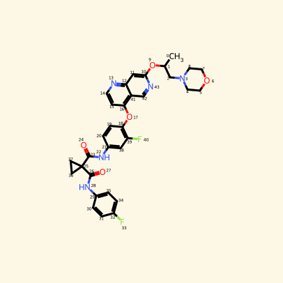 CC(CN1CCOCC1)Oc1cc2nccc(Oc3ccc(NC(=O)C4(C(=O)Nc5ccc(F)cc5)CC4)cc3F)c2cn1